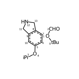 CC(C)(C)OC=O.CC(C)Oc1ccc2c(c1)CNC2